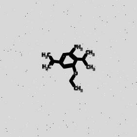 C=C(C)c1cc(P)c(C(C)C)c(OCC)c1